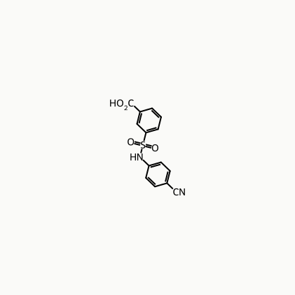 N#Cc1ccc(NS(=O)(=O)c2cccc(C(=O)O)c2)cc1